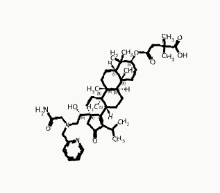 CC(C)C1=C2[C@H]3CC[C@@H]4[C@@]5(C)CC[C@H](OC(=O)CC(C)(C)C(=O)O)C(C)(C)[C@H]5CC[C@@]4(C)[C@]3(C)CC[C@@]2([C@@H](O)CN(CC(N)=O)Cc2ccccn2)CC1=O